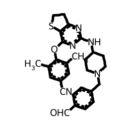 Cc1cc(C#N)cc(C)c1Oc1nc(NC2CCN(Cc3ccc(C=O)cc3)CC2)nc2c1SCC2